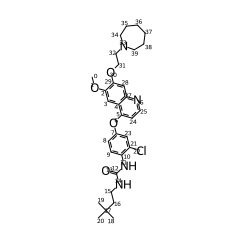 COc1cc2c(Oc3ccc(NC(=O)NCCC(C)(C)C)c(Cl)c3)ccnc2cc1OCCN1CCCCCC1